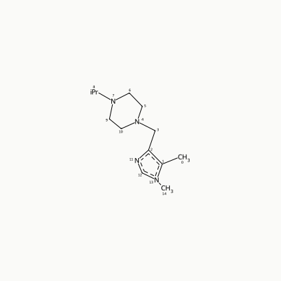 Cc1c(CN2CCN(C(C)C)CC2)ncn1C